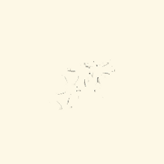 Cc1ccc(Cn2c(C(=O)O)c(-n3c(=O)[nH]c4cscc4c3=O)c3cc(C)ccc32)cc1